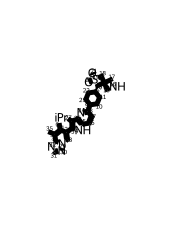 Cc1c(-c2[nH]c3ccc(C4CCC([C@@H]5C6(CNC6)CS5(=O)=O)CC4)nc3c2C(C)C)cn2ncnc2c1C